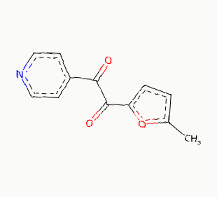 Cc1ccc(C(=O)C(=O)c2ccncc2)o1